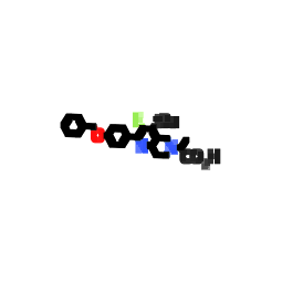 CC(C(=O)O)N1CCc2nc(-c3ccc(OCc4ccccc4)cc3)c(F)c(C(C)(C)C)c2C1